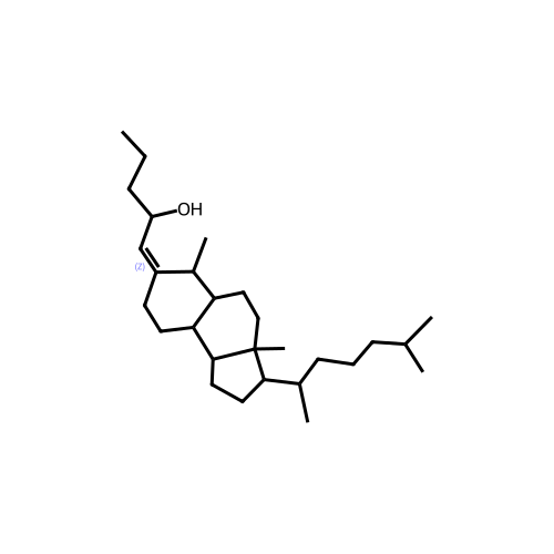 CCCC(O)/C=C1/CCC2C(CCC3(C)C(C(C)CCCC(C)C)CCC23)C1C